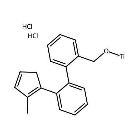 CC1=C(c2ccccc2-c2ccccc2C[O][Ti])CC=C1.Cl.Cl